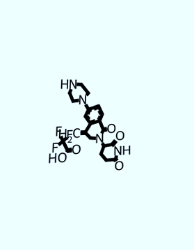 C=C1CN(C2CCC(=O)NC2=O)C(=O)c2ccc(N3CCNCC3)cc21.O=C(O)C(F)(F)F